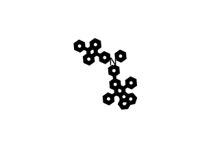 c1ccc(-c2c3c(c(-c4ccccc4)c4cc(-c5ccc(N(c6ccccc6)c6ccc(-c7c8ccccc8c(-c8ccccc8)c8ccccc78)cc6)cc5)ccc24)-c2cccc4cccc-3c24)cc1